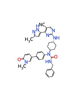 Cc1cc(-c2nc(N[C@H]3CC[C@H](N(C(=O)NCc4ccccc4)c4ccc(-c5ccc(=O)n(C)c5)cc4)CC3)ncc2C#N)[nH]n1